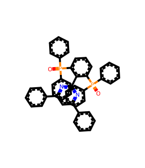 O=P(c1ccccc1)(c1ccccc1)c1cccc(P(=O)(c2ccccc2)c2ccccc2)c1-c1nc(-c2ccccc2)cc(-c2ccccc2)n1